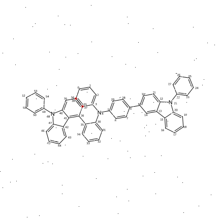 c1ccc(N(c2ccc(-c3ccc4c(c3)c3ccccc3n4-c3ccccc3)cc2)c2ccccc2-c2cccc3c2c2ccccc2n3-c2ccccc2)cc1